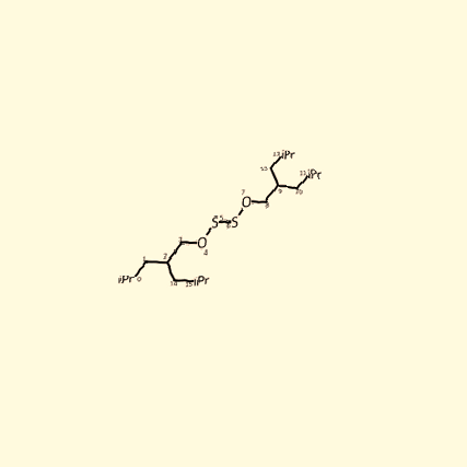 CC(C)CC(COSSOCC(CC(C)C)CC(C)C)CC(C)C